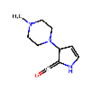 CN1CCN(C2C=CNC2=C=O)CC1